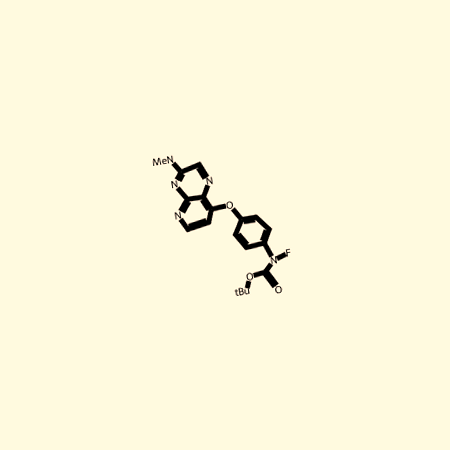 CNc1cnc2c(Oc3ccc(N(F)C(=O)OC(C)(C)C)cc3)ccnc2n1